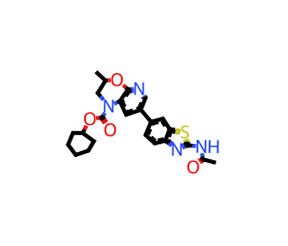 CC(=O)Nc1nc2ccc(-c3cnc4c(c3)N(C(=O)OC3CCCCC3)CC(C)O4)cc2s1